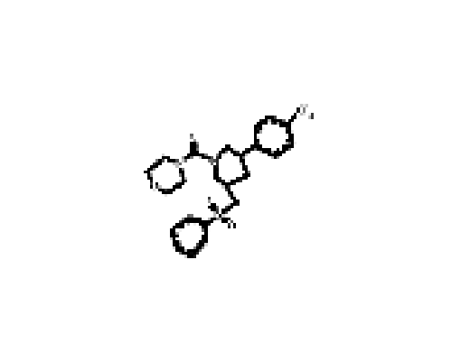 O=C(N1CCOCC1)N1CC(CS(=O)(=O)c2ccccc2)CC(c2ccc(C(F)(F)F)cc2)C1